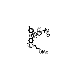 COCCCN1CCOc2ccc(C(O[C@@H]3CC[C@@H](CC(C)(C)N=C=O)NC3)S(=O)(=O)c3ccc(C)cc3)cc21